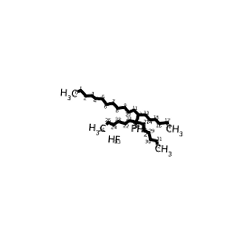 CCCCCCCCCCCCC(CCCCCC)C(P)(CCCCCC)CCCCCC.F